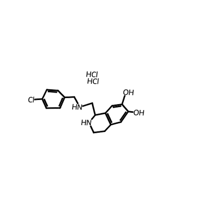 Cl.Cl.Oc1cc2c(cc1O)C(CNCc1ccc(Cl)cc1)NCC2